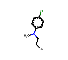 CN(CCC#N)c1ccc(Cl)cc1